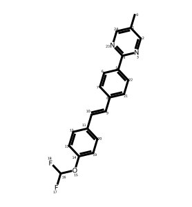 Cc1cnc(-c2ccc(C=Cc3ccc(OC(F)F)cc3)cc2)nc1